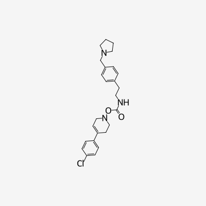 O=C(NCCc1ccc(CN2CCCC2)cc1)ON1CC=C(c2ccc(Cl)cc2)CC1